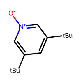 CC(C)(C)c1cc(C(C)(C)C)c[n+]([O-])c1